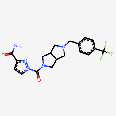 NC(=O)c1ccn(C(=O)N2CC3CN(Cc4ccc(C(F)(F)F)cc4)CC3C2)n1